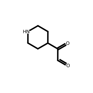 O=CC(=O)C1CCNCC1